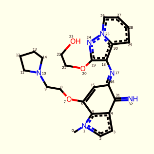 Cn1ccc2c1C(OCCN1CCCC1)=CC(=Nc1c(OCCO)nn3ccccc13)C2=N